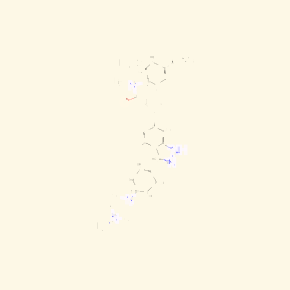 COc1ccc(N(C)C(=O)[C@@H]2C[C@H]2c2ccc3c(-c4ccc(N5CCN(C)CC5)cc4)n[nH]c3c2)c(C)c1